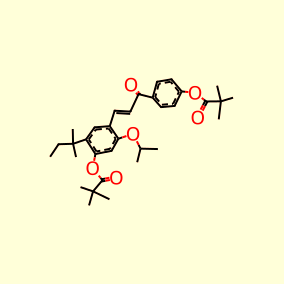 CCC(C)(C)c1cc(C=CC(=O)c2ccc(OC(=O)C(C)(C)C)cc2)c(OC(C)C)cc1OC(=O)C(C)(C)C